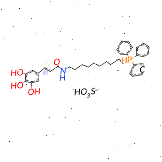 CS(=O)(=O)O.O=C(/C=C/c1cc(O)c(O)c(O)c1)NCCCCCCCCCC[PH](c1ccccc1)(c1ccccc1)c1ccccc1